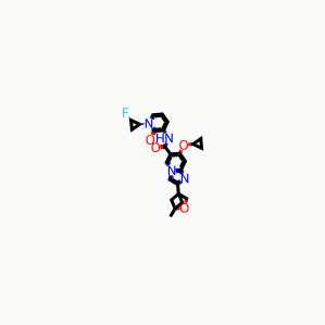 CC12CC(c3cn4cc(C(=O)Nc5cccn([C@@H]6C[C@@H]6F)c5=O)c(OC5CC5)cc4n3)(CO1)C2